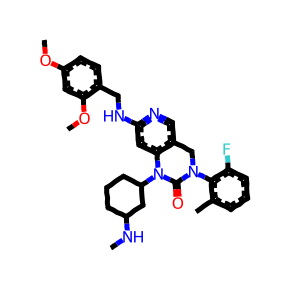 CNC1CCCC(N2C(=O)N(c3c(C)cccc3F)Cc3cnc(NCc4ccc(OC)cc4OC)cc32)C1